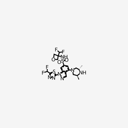 C[C@H]1CN(c2cc(S(=O)(=O)NC3(C(F)F)COC3)cc3c2cnn3-c2nnc(C(F)F)s2)C[C@H](C)N1